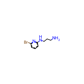 NCCCNc1cccc(Br)n1